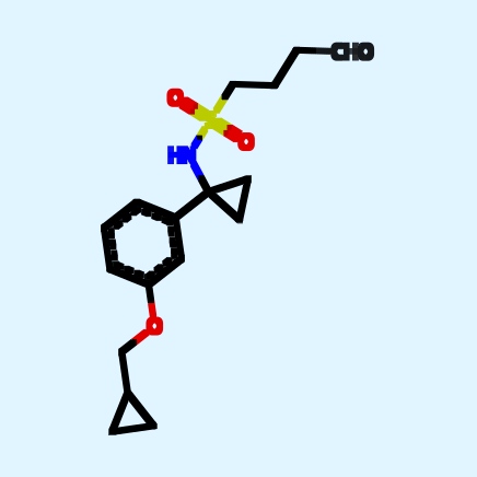 O=CCCCS(=O)(=O)NC1(c2cccc(OCC3CC3)c2)CC1